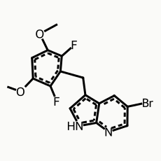 COc1cc(OC)c(F)c(Cc2c[nH]c3ncc(Br)cc23)c1F